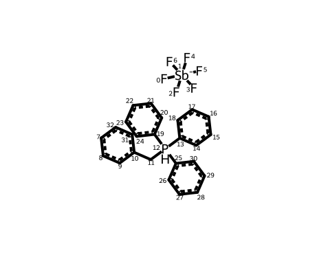 [F][Sb-]([F])([F])([F])([F])[F].c1ccc(C[PH](c2ccccc2)(c2ccccc2)c2ccccc2)cc1